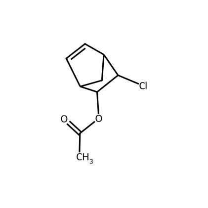 CC(=O)OC1C2C=CC(C2)C1Cl